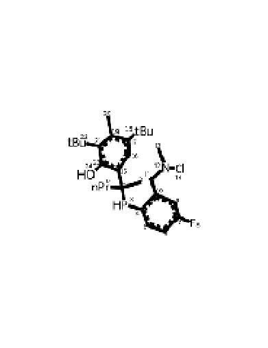 CCCC(C)(Pc1ccc(F)cc1CN(C)Cl)c1cc(C(C)(C)C)c(C)c(C(C)(C)C)c1O